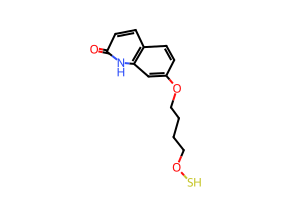 O=c1ccc2ccc(OCCCCOS)cc2[nH]1